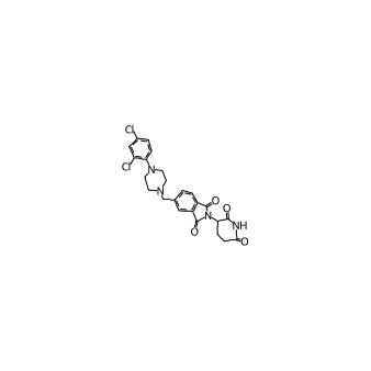 O=C1CCC(N2C(=O)c3ccc(CN4CCN(c5ccc(Cl)cc5Cl)CC4)cc3C2=O)C(=O)N1